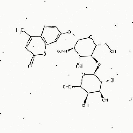 CC(=O)N[C@H]1[C@H](Oc2ccc3c(C)cc(=O)oc3c2)O[C@H](CO)[C@@H](O[C@@H]2O[C@H](C=O)[C@H](O)[C@H](O)[C@H]2O)[C@@H]1O